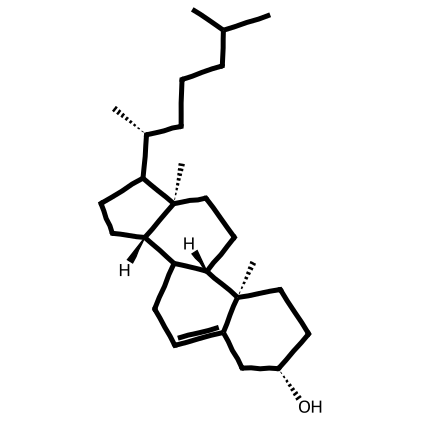 CC(C)CCC[C@@H](C)C1CC[C@H]2C3CC=C4C[C@@H](O)CC[C@]4(C)[C@H]3CC[C@]12C